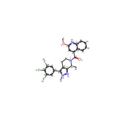 COc1cc(C(=O)N2CCc3c(nn(C)c3-c3cc(F)c(F)c(F)c3)[C@@H]2C)c2ccccc2n1